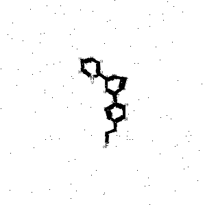 FCCc1ccc(-c2cccc(-c3ccccn3)c2)cc1